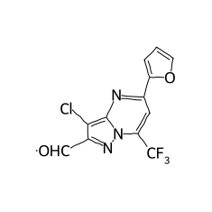 O=[C]c1nn2c(C(F)(F)F)cc(-c3ccco3)nc2c1Cl